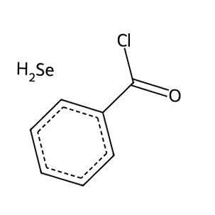 O=C(Cl)c1ccccc1.[SeH2]